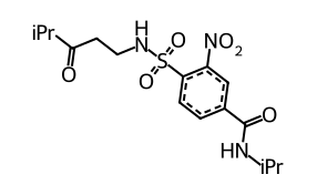 CC(C)NC(=O)c1ccc(S(=O)(=O)NCCC(=O)C(C)C)c([N+](=O)[O-])c1